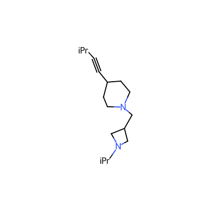 CC(C)C#CC1CCN(CC2CN(C(C)C)C2)CC1